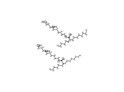 CCCCCCCCC(CCCCCC)C(=O)OCCCCCCNCCCO.CCCCCCCCC(CCCCCC)C(=O)OCCCCCCNCCCO